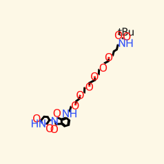 CC(C)(C)OC(=O)NCCCCOCCOCCOCCOCCOCCOCCNc1cccc2c1C(=O)N(C1CCC(=O)NC1=O)C2=O